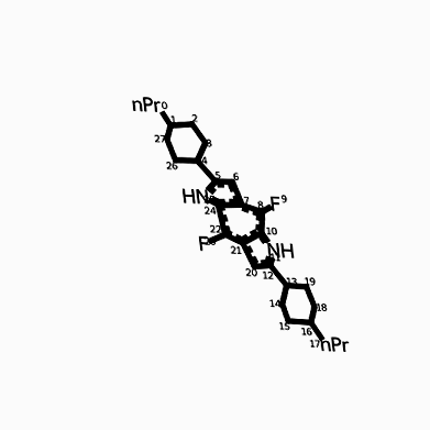 CCCC1CCC(c2cc3c(F)c4[nH]c(C5CCC(CCC)CC5)cc4c(F)c3[nH]2)CC1